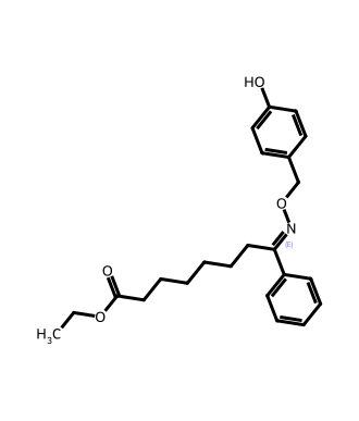 CCOC(=O)CCCCCC/C(=N\OCc1ccc(O)cc1)c1ccccc1